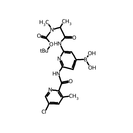 Cc1cc(Cl)cnc1C(=O)Nc1cc(B(O)O)cc(NC(=O)C(C)N(C)C(=O)OC(C)(C)C)n1